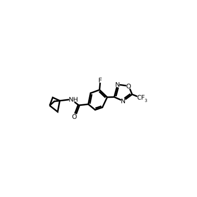 O=C(NC12CC(C1)C2)c1ccc(-c2noc(C(F)(F)F)n2)c(F)c1